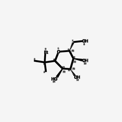 CCC(C)(C)C1O[C@H](CO)[C@@H](O)[C@H](O)[C@H]1O